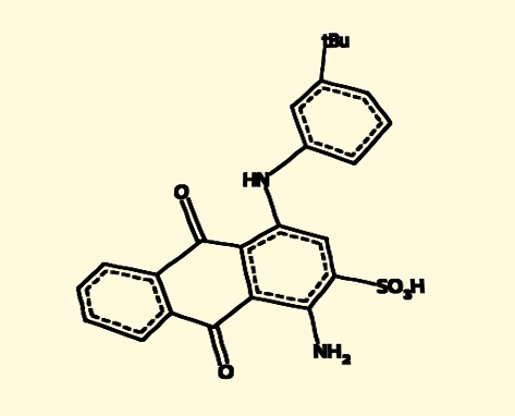 CC(C)(C)c1cccc(Nc2cc(S(=O)(=O)O)c(N)c3c2C(=O)c2ccccc2C3=O)c1